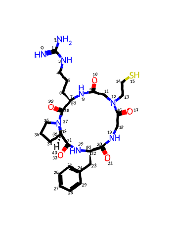 N=C(N)NCCC[C@H]1NC(=O)CN(CCS)C(=O)CNC(=O)[C@@H](Cc2ccccc2)NC(=O)[C@H]2CCCN2C1=O